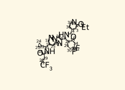 CCOc1cc(C(=O)N[C@H](c2cn3ncc(C(NC(=O)CCC(F)(F)F)C4CC4)cc3n2)C2CCC(F)(F)CC2)ccn1